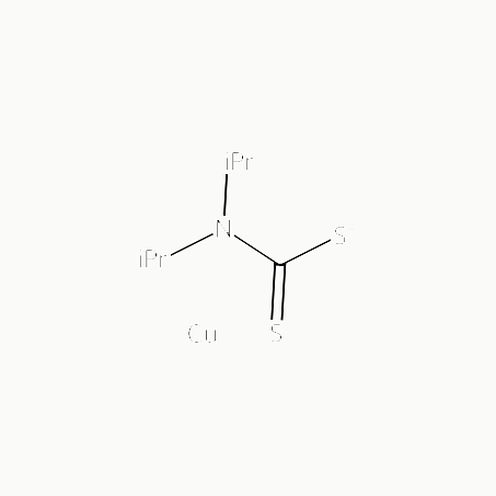 CC(C)N(C(=S)[S-])C(C)C.[Cu+]